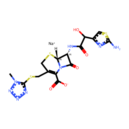 Cn1nnnc1SCC1=C(C(=O)[O-])N2C(=O)[C@@H](NC(=O)C(O)c3csc(N)n3)[C@H]2SC1.[Na+]